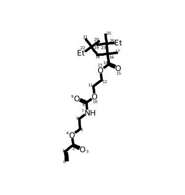 C=CC(=O)OCCNC(=O)OCCOC(=O)C(C)(CC(C)(C)CC)C(C)(C)CC